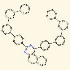 c1ccc(-c2cccc(-c3cccc(-c4ccc(-c5nc(-c6ccc(-c7cccc(-c8cccc(-c9ccccc9)c8)c7)cc6)c6c(ccc7ccccc76)n5)cc4)c3)c2)cc1